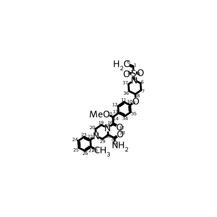 C=CS(=O)(=O)N1CCC(Oc2ccc(C(OC)C(=O)N3CCN(c4ccccc4C)CC3C(N)=O)cc2)CC1